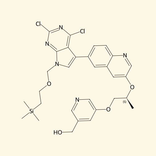 C[C@@H](COc1cncc(CO)c1)Oc1cnc2ccc(-c3cn(COCC[Si](C)(C)C)c4nc(Cl)nc(Cl)c34)cc2c1